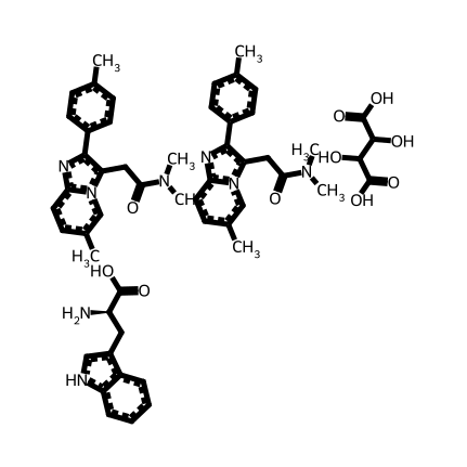 Cc1ccc(-c2nc3ccc(C)cn3c2CC(=O)N(C)C)cc1.Cc1ccc(-c2nc3ccc(C)cn3c2CC(=O)N(C)C)cc1.N[C@H](Cc1c[nH]c2ccccc12)C(=O)O.O=C(O)C(O)C(O)C(=O)O